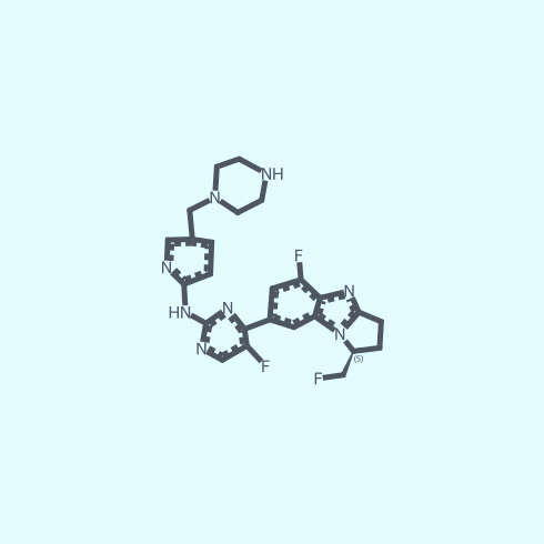 FC[C@@H]1CCc2nc3c(F)cc(-c4nc(Nc5ccc(CN6CCNCC6)cn5)ncc4F)cc3n21